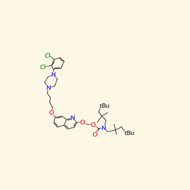 CC(C)(C)CC(C)(C)CN(CC(C)(C)CC(C)(C)C)C(=O)OCOc1ccc2ccc(OCCCCN3CCN(c4cccc(Cl)c4Cl)CC3)cc2n1